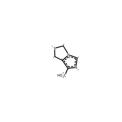 O=C(O)c1ncn2c1CSC2